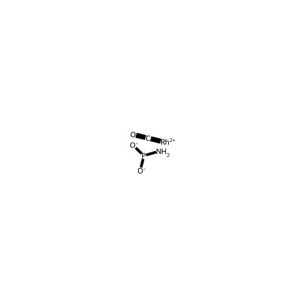 NP([O-])[O-].O=[C]=[Rh+2]